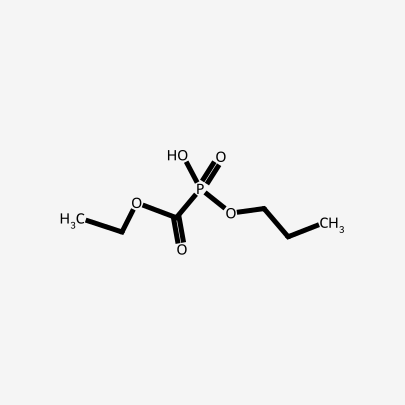 CCCOP(=O)(O)C(=O)OCC